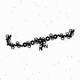 C=CC(=O)OCC(C)OC(=O)CCC(=O)OCCc1ccc(OC(=O)[C@H]2CC[C@H](C(=O)Oc3c(C)c(C)c(OC(=O)[C@H]4CC[C@H](C(=O)Oc5ccc(CCOC(=O)CCC(=O)OCC(C)OCC(C)OC(=O)C=C)cc5)CC4)c4c3SC(=C(C#N)C#N)S4)CC2)cc1